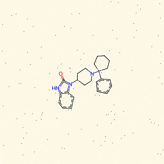 O=c1[nH]c2ccccc2n1C1CCN(C2(c3ccccc3)CCCCC2)CC1